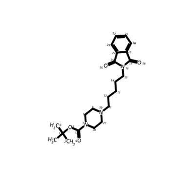 CC(C)(C)OC(=O)N1CCN(CCCCCN2C(=O)c3ccccc3C2=O)CC1